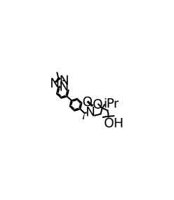 Cc1nc2ccc(-c3ccc([C@H](C)N4CCC(CC(C)(C)O)(C(C)C)OC4=O)cc3)cn2n1